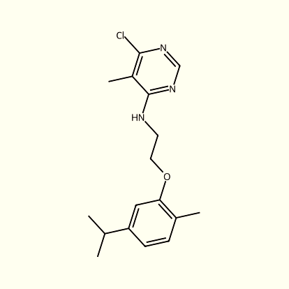 Cc1ccc(C(C)C)cc1OCCNc1ncnc(Cl)c1C